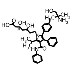 CC(C)(N)CO.CC(C)c1c(C(=O)Nc2ccccc2)c(-c2ccccc2)c(-c2ccc(F)cc2)n1CC[C@@H](O)C[C@@H](O)CC(=O)O